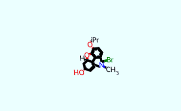 CC(C)Oc1ccc2c3c1O[C@H]1C[C@@H](O)C=C[C@@]31CCN(C)C2Br